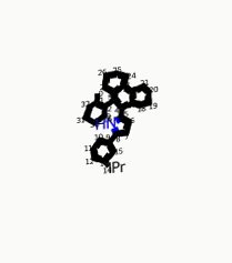 CC1=C(c2c(-c3ccc(-c4cccc(C(C)C)c4)[nH]3)c3ccccc3c3ccccc23)CCC=C1